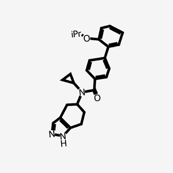 CC(C)Oc1ccccc1-c1ccc(C(=O)N(C2CC2)C2CCc3[nH]ncc3C2)cc1